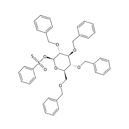 O=S(=S)(O[C@@H]1O[C@H](COCc2ccccc2)[C@@H](OCc2ccccc2)[C@H](OCc2ccccc2)[C@H]1OCc1ccccc1)c1ccccc1